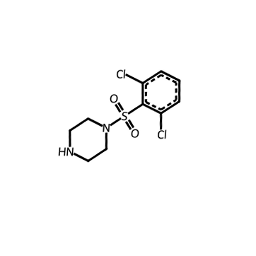 O=S(=O)(c1c(Cl)cccc1Cl)N1CCNCC1